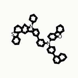 c1ccc(-n2c3ccc(-c4cccc(N(c5ccc(-c6cccc7ccccc67)cc5)c5ccc6c(c5)oc5ccccc56)c4)cc3c3cc4c(ccc5sc6ccccc6c54)cc32)cc1